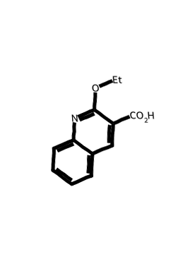 CCOc1nc2ccccc2cc1C(=O)O